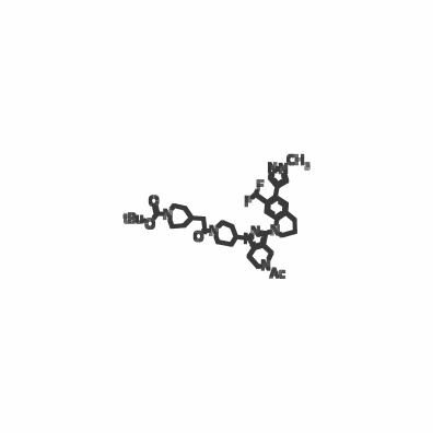 CC(=O)N1CCc2c(c(N3CCCc4cc(-c5cnn(C)c5)c(C(F)F)cc43)nn2C2CCN(C(=O)CC3CCN(C(=O)OC(C)(C)C)CC3)CC2)C1